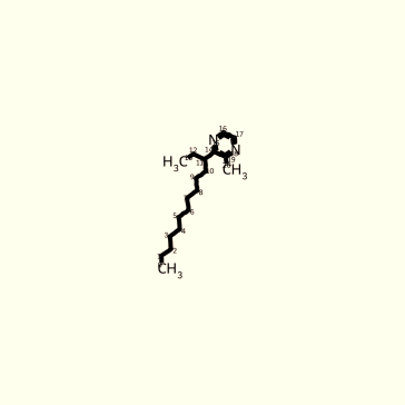 CCCCCCCCCCCC(CC)c1nccnc1C